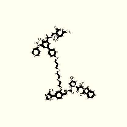 CCN(c1cc(-c2ccc(OCCCOCCOCCOc3cc(-c4scnc4C)ccc3CNC(=O)[C@@H]3C[C@@H](O)CN3C(=O)[C@H](C(C)C)N3Cc4ccccc4C3=O)cc2)cc(C(=O)NCc2c(C)cc(C)[nH]c2=O)c1C)C1CCOCC1